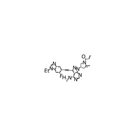 C=CC(=O)N1CC(n2nc(C#Cc3cc4ncn(CC)c4cc3F)c3c(N)ncnc32)C[C@@H]1C